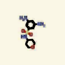 Nc1cc(N)cc(S(=O)(=O)NC2CCOCC2)c1